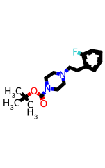 CC(C)(C)OC(=O)N1CCN(CCc2ccccc2F)CC1